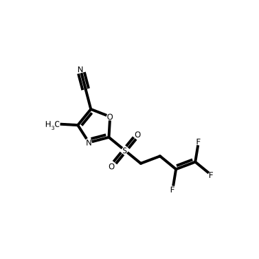 Cc1nc(S(=O)(=O)CCC(F)=C(F)F)oc1C#N